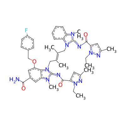 CCn1nc(C)cc1C(=O)/N=c1\n(C)c2ccccc2n1C/C(C)=C(\C)Cn1/c(=N/C(=O)c2cc(C)nn2CC)n(C)c2cc(C(N)=O)cc(OCc3ccc(F)cc3)c21